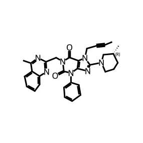 CC#CCn1c(N2CCC[C@@H](C)C2)nc2c1c(=O)n(Cc1nc(C)c3ccccc3n1)c(=O)n2-c1ccccc1